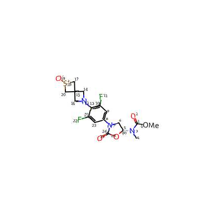 COC(=O)N(C)[C@H]1CN(c2cc(F)c(N3CC4(C3)C[S+]([O-])C4)c(F)c2)C(=O)O1